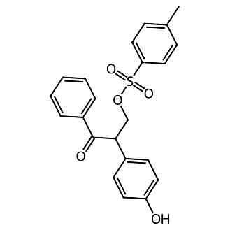 Cc1ccc(S(=O)(=O)OCC(C(=O)c2ccccc2)c2ccc(O)cc2)cc1